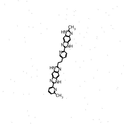 Cc1cccc(-c2nc3cc4[nH]c(CCc5ccc(-c6nc7cc8[nH]c(C)nc8cc7[nH]6)nc5)nc4cc3[nH]2)n1